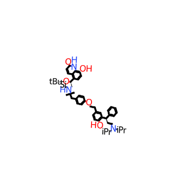 CC(C)N(CC[C@H](c1ccccc1)c1cc(CCOc2ccc(CC(C)(C)NC[C@H](O[Si](C)(C)C(C)(C)C)c3ccc(O)c4[nH]c(=O)ccc34)cc2)ccc1O)C(C)C